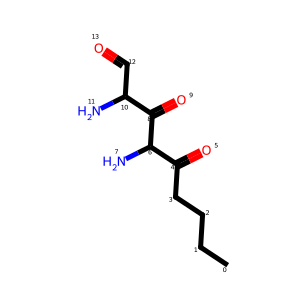 CCCCC(=O)C(N)C(=O)C(N)C=O